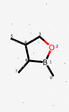 CB1OCC(C)C1C